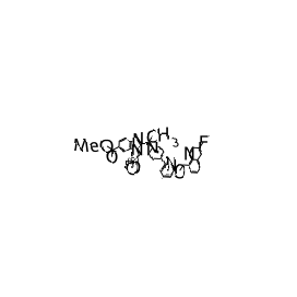 COC(=O)c1ccc2nc(C(C)N3CCC(c4cccc(OCc5cccc6cc(F)cnc56)n4)CC3)n(C[C@@H]3CCO3)c2c1